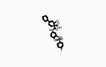 O=C(O)C1(C(=O)Nc2ccc(O)c(NS(=O)(=O)c3ccc(F)cc3)c2)C=CC(c2ccccc2)=CC1Cl